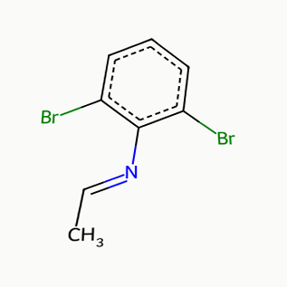 CC=Nc1c(Br)cccc1Br